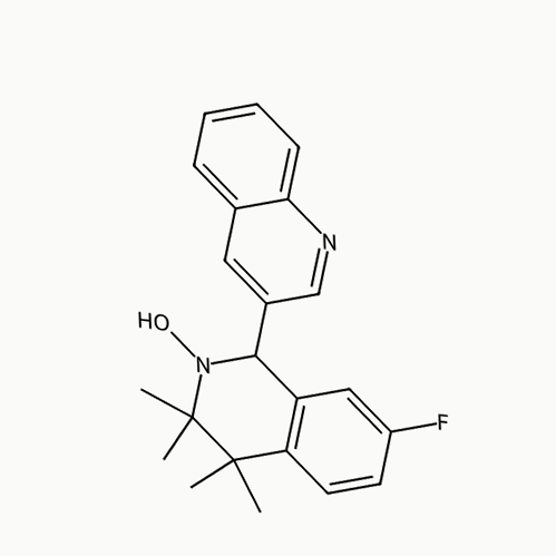 CC1(C)c2ccc(F)cc2C(c2cnc3ccccc3c2)N(O)C1(C)C